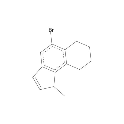 CC1C=Cc2cc(Br)c3c(c21)CCCC3